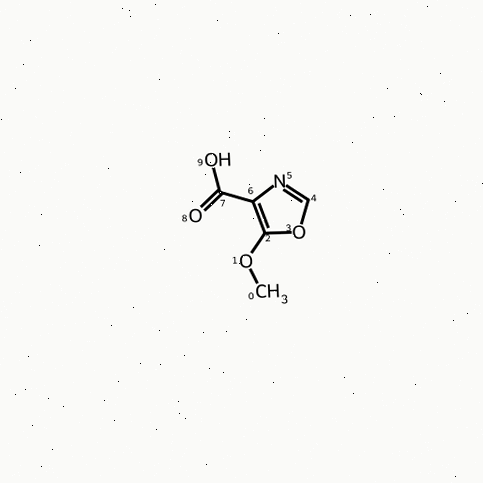 COc1ocnc1C(=O)O